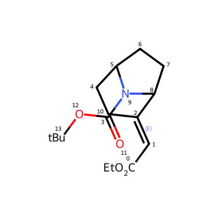 CCOC(=O)/C=C1\CCC2CCC1N2C(=O)OC(C)(C)C